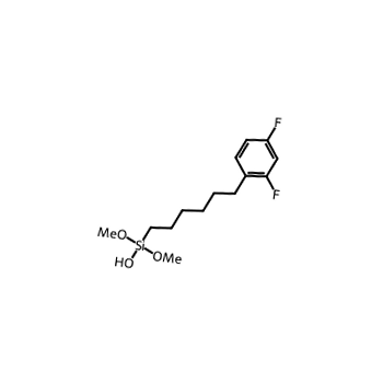 CO[Si](O)(CCCCCCc1ccc(F)cc1F)OC